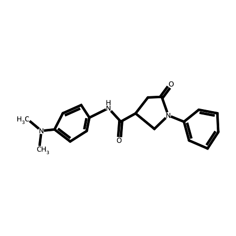 CN(C)c1ccc(NC(=O)C2CC(=O)N(c3ccccc3)C2)cc1